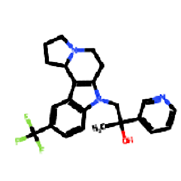 CC(O)(Cn1c2c(c3cc(C(F)(F)F)ccc31)C1CCCN1CC2)c1cccnc1